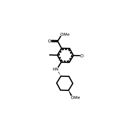 COC(=O)c1cc(Cl)cc(N[C@H]2CC[C@H](OC)CC2)c1C